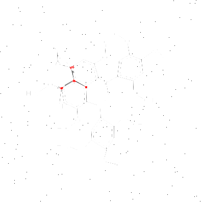 COc1cc(OC)c([SiH](O[SiH](c2cc(OC)c(OC)cc2OC)c2cc(OC)c(OC)cc2OC)c2cc(OC)c(OC)cc2OC)cc1OC